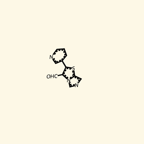 O=Cc1c(-c2cccnc2)sc2cncn12